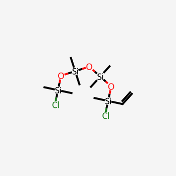 C=C[Si](C)(Cl)O[Si](C)(C)O[Si](C)(C)O[Si](C)(C)Cl